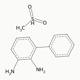 C[SH](=O)=O.Nc1cccc(-c2ccccc2)c1N